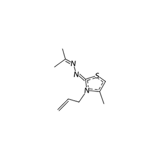 C=CCn1c(C)cs/c1=N\N=C(C)C